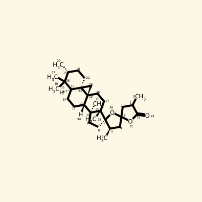 CC1CC2(C[C@@H](C)[C@]3(CC[C@@]4(C)[C@@H]5CC[C@H]6C(C)(C)[C@H](C)CC[C@@]67C[C@@]57CC[C@@]43C)O2)OC1=O